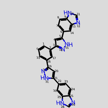 c1cc(-c2cc(-c3ccc4[nH]cnc4c3)[nH]n2)cc(-c2cc(-c3ccc4nc[nH]c4c3)[nH]n2)c1